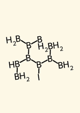 BBB(B(B)B)B(I)B(B)B